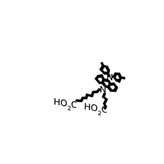 Cc1ccc(N(c2ccc(C)cc2)c2c3c(c(N(CCCCCCCCCC(=O)O)CCCCCC(=O)O)c4ccccc24)CCC=C3)cc1